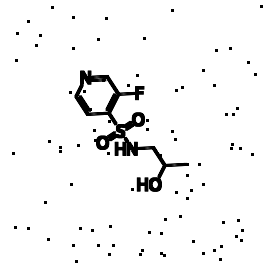 CC(O)CNS(=O)(=O)c1ccncc1F